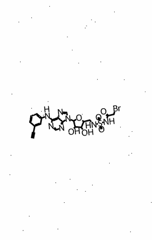 C#Cc1cccc(Nc2ncnc3c2ncn3C2OC(CNS(=O)(=O)NC(=O)CBr)C(O)C2O)c1